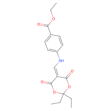 CCOC(=O)c1ccc(NC=C2C(=O)OC(CC)(CC)OC2=O)cc1